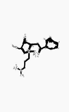 COC1=C[N+](C)(CCCN(C)C)C(CC(=O)c2ccccc2)C1=O